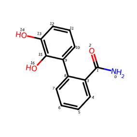 NC(=O)c1ccccc1-c1cccc(O)c1O